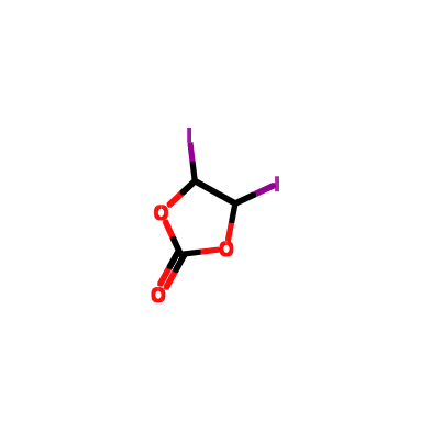 O=C1OC(I)C(I)O1